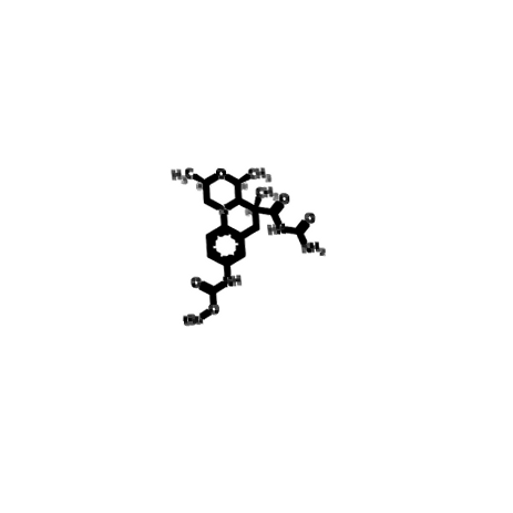 C[C@@H]1CN2c3ccc(NC(=O)OC(C)(C)C)cc3C[C@@](C)(C(=O)NC(N)=O)C2[C@H](C)O1